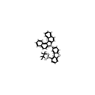 CC1(C)OB(c2cccc3oc4ccc(-n5c6ccc7ccccc7c6c6c7ccccc7ccc65)cc4c23)OC1(C)C